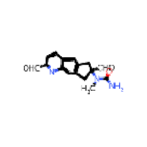 CN(C(N)=O)C1(C=O)Cc2cc3ccc(C=O)nc3cc2C1